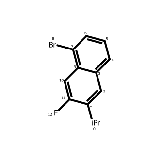 CC(C)c1cc2cccc(Br)c2cc1F